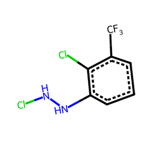 FC(F)(F)c1cccc(NNCl)c1Cl